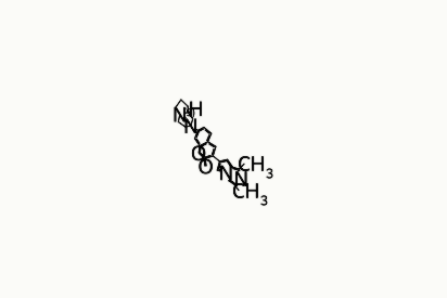 Cc1cn2cc(-c3cc4ccc(N5CCN6CCC[C@H]6C5)cc4oc3=O)cc2c(C)n1